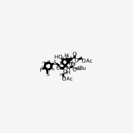 CC(=O)OCOC(=O)[C@H]1[C@@H]2[C@H](O)[C@@H](CSc3ccc(F)c(C)c3)[C@@](NC(=O)OC(C)(C)C)(C(=O)OCOC(C)=O)[C@H]12